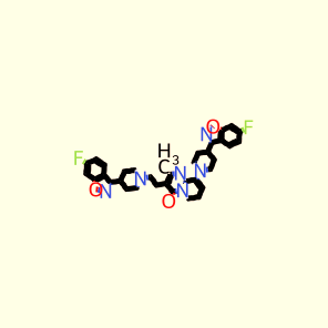 Cc1nc2n(c(=O)c1CCN1CCC(c3noc4cc(F)ccc34)CC1)CCC=C2N1CCC(c2noc3cc(F)ccc23)CC1